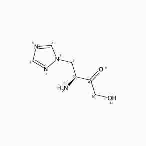 N[C@@H](Cn1cncn1)C(=O)CO